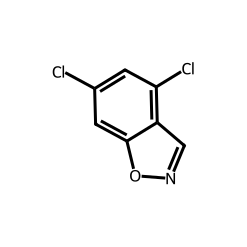 Clc1cc(Cl)c2cnoc2c1